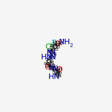 Cc1cc(Nc2nccn3c(-c4ccc(OCN)c(F)c4Cl)cnc23)ccc1C(=O)N1CCN(C(=O)[C@H]2CCNC2)CC1